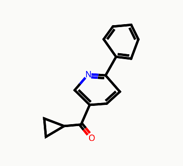 O=C(c1ccc(-c2ccccc2)nc1)C1CC1